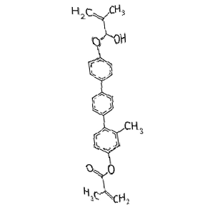 C=C(C)C(=O)Oc1ccc(-c2ccc(-c3ccc(OC(O)C(=C)C)cc3)cc2)c(C)c1